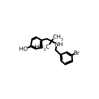 CC(Cc1ccc(O)cc1)(NCc1cccc(Br)c1)C(=O)O